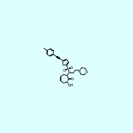 Cc1ccc(C#Cc2ccc(S(=O)(=O)N(CCN3CCOCC3)C3CC=CCN(O)C3=O)s2)cc1